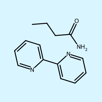 CCCC(N)=O.c1ccc(-c2ccccn2)nc1